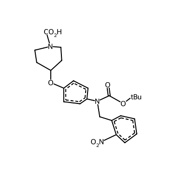 CC(C)(C)OC(=O)N(Cc1ccccc1[N+](=O)[O-])c1ccc(OC2CCN(C(=O)O)CC2)cc1